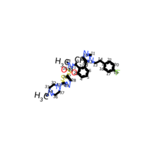 CC(c1ccccc1-c1cncn1CCc1ccc(F)cc1)N(C)S(=O)(=O)c1cnc(N2CCN(C)CC2)s1